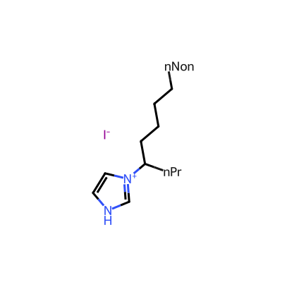 CCCCCCCCCCCCCC(CCC)[n+]1cc[nH]c1.[I-]